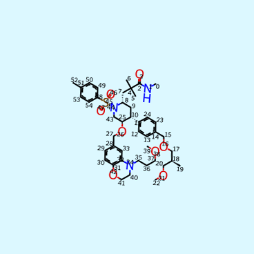 CNC(=O)C(C)(C)C[C@@H]1C[C@H](c2ccc(COC[C@@H](C)COC)cc2)[C@@H](OCc2ccc3c(c2)N(CCCOC)CCO3)CN1S(=O)(=O)c1ccc(C)cc1